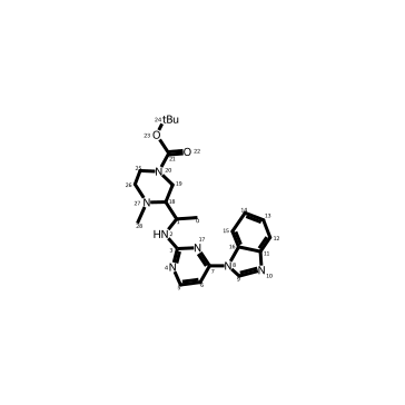 CC(Nc1nccc(-n2cnc3ccccc32)n1)C1CN(C(=O)OC(C)(C)C)CCN1C